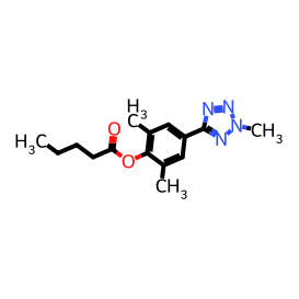 CCCCC(=O)Oc1c(C)cc(-c2nnn(C)n2)cc1C